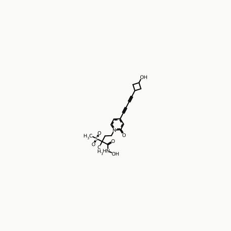 CC(CCn1ccc(C#CC#CC2CC(O)C2)cc1=O)(C(=O)NO)S(C)(=O)=O